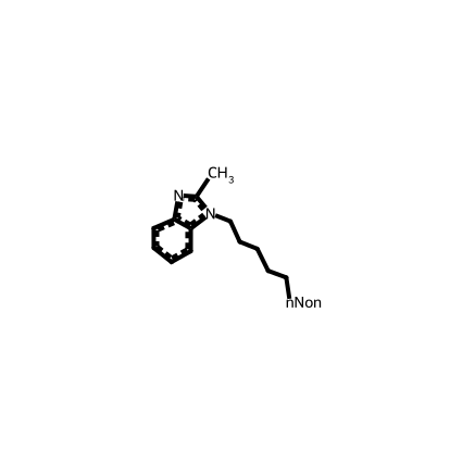 CCCCCCCCCCCCCCn1c(C)nc2ccccc21